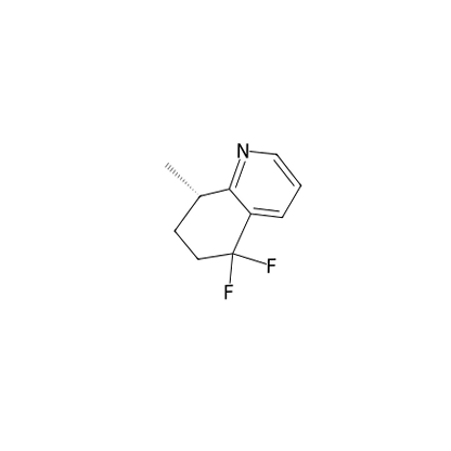 C[C@H]1CCC(F)(F)c2cccnc21